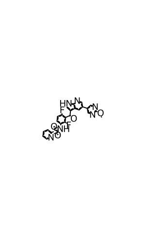 COc1ncc(-c2cnc3[nH]cc(C(=O)c4c(F)ccc(NS(=O)(=O)c5ccccn5)c4F)c3c2)cn1